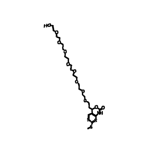 CSc1ncc2c(n1)NC(=O)OC2CCOCCOCCOCCOCCOCCOCCOCCOCCO